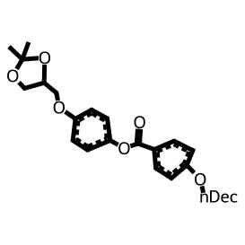 CCCCCCCCCCOc1ccc(C(=O)Oc2ccc(OCC3COC(C)(C)O3)cc2)cc1